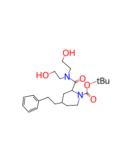 CC(C)(C)OC(=O)N1CCC(CCc2ccccc2)CC1C(=O)N(CCO)CCO